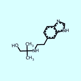 CC(C)(CO)NCCc1ccc2nc[nH]c2c1